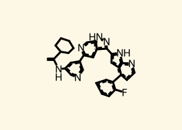 C=C(Nc1cncc(-c2cc3c(-c4cc5c(-c6ccccc6F)ccnc5[nH]4)n[nH]c3cn2)c1)C1CCCCC1